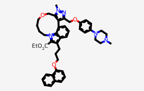 CCOC(=O)c1c(CCCOc2cccc3ccccc23)c2cccc3c2n1CCCCOCc1c-3c(COc2ccc(N3CCN(C)CC3)cc2)nn1C